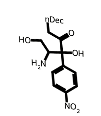 CCCCCCCCCCCC(=O)C(O)(c1ccc([N+](=O)[O-])cc1)C(N)CO